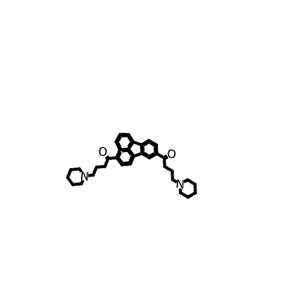 O=C(CCCN1CCCCC1)c1ccc2c(c1)-c1ccc(C(=O)CCCN3CCCCC3)c3cccc-2c13